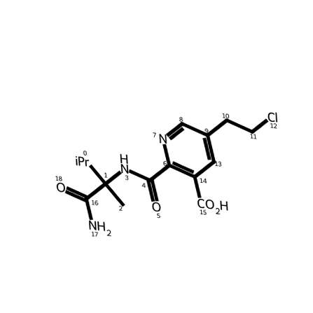 CC(C)C(C)(NC(=O)c1ncc(CCCl)cc1C(=O)O)C(N)=O